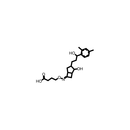 Cc1ccc(C(O)CCC2CC3C(=NOCCCC(=O)O)CC3C2O)c(C)c1